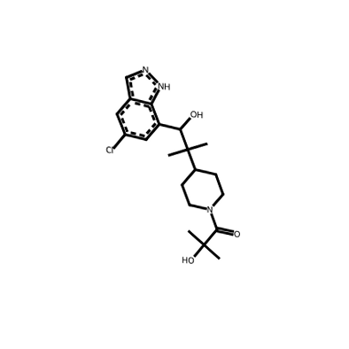 CC(C)(O)C(=O)N1CCC(C(C)(C)C(O)c2cc(Cl)cc3cn[nH]c23)CC1